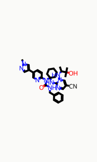 CC(NN1C=C(C#N)C=NC1NC1(N(C(=O)NCc2ccccc2)c2ccc(-c3cnn(C)c3)cn2)CCCCC1)C(C)(C)O